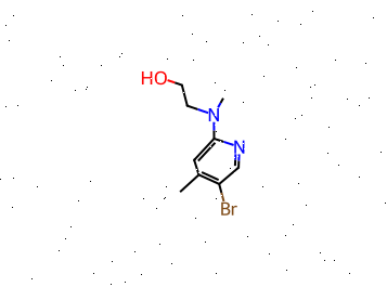 Cc1cc(N(C)CCO)ncc1Br